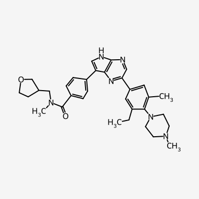 CCc1cc(-c2cnc3[nH]cc(-c4ccc(C(=O)N(C)CC5CCOC5)cc4)c3n2)cc(C)c1N1CCN(C)CC1